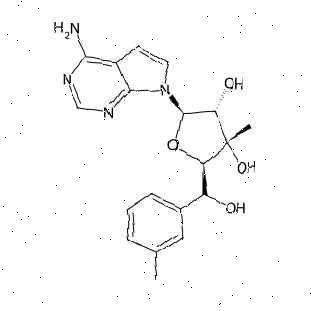 Cc1cccc(C(O)[C@H]2O[C@@H](n3ccc4c(N)ncnc43)[C@H](O)[C@]2(C)O)c1